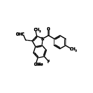 COc1cc2c(CC=O)c(C)n(C(=O)c3ccc(C)cc3)c2cc1F